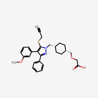 C#CCSc1c(-c2cccc(OC)c2)c(-c2ccccc2)nn1C[C@H]1CC[C@@H](COCC(=O)O)CC1